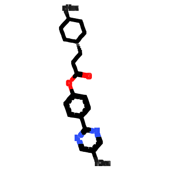 CCCCCCCCCCc1cnc(-c2ccc(OC(=O)CC[C@H]3CC[C@H](CCCCCC)CC3)cc2)nc1